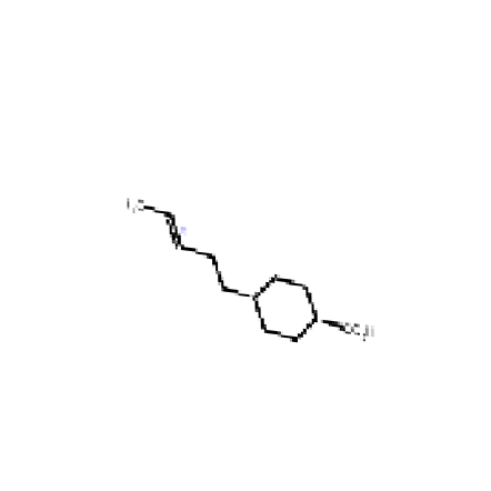 C/C=C/CC[C@H]1CC[C@@H](C(=O)O)CC1